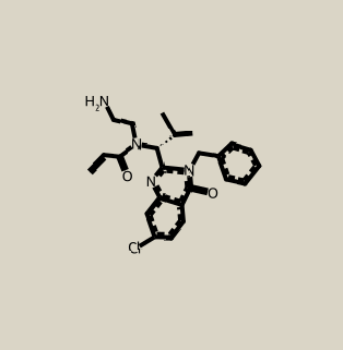 C=CC(=O)N(CCN)[C@@H](c1nc2cc(Cl)ccc2c(=O)n1Cc1ccccc1)C(C)C